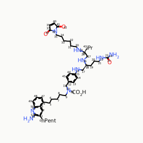 CCCCCc1cc2c(CCCCCN(Cc3ccc(NC[C@H](CCCNC(N)=O)NC[C@@H](NCCCCCCN4C(=O)C=CC4=O)C(C)C)cc3)C(=O)O)cccc2nc1N